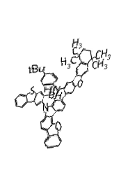 CC(C)(C)c1ccc(Nc2cc3c(cc2-c2ccc4c5c6oc7ccccc7c6ccc5n5c4c2Bc2cc4sc6ccccc6c4cc2-5)oc2cc4c(cc23)C(C)(C)CCC4(C)C)cc1